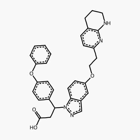 O=C(O)CC(c1ccc(Oc2ccccc2)cc1)n1ncc2cc(OCCc3ccc4c(n3)NCCC4)ccc21